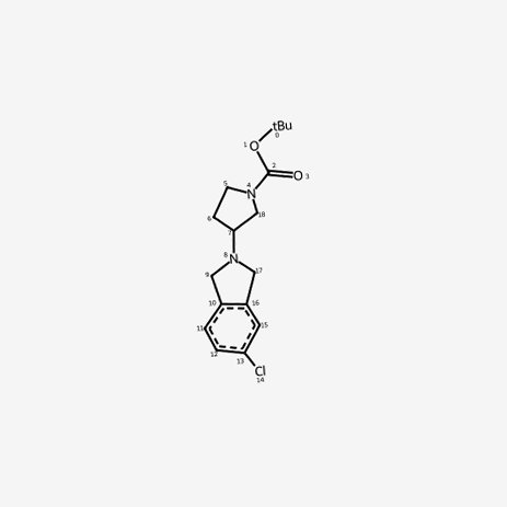 CC(C)(C)OC(=O)N1CCC(N2Cc3ccc(Cl)cc3C2)C1